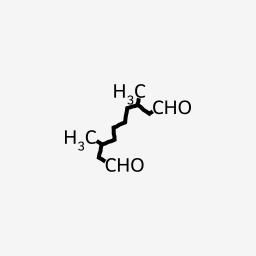 CC(CC=O)CCCCC(C)CC=O